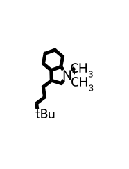 CC(C)(C)CCCC1C[N+](C)(C)C2CCCCC12